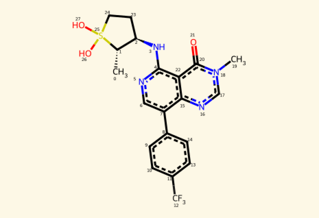 C[C@H]1[C@H](Nc2ncc(-c3ccc(C(F)(F)F)cc3)c3ncn(C)c(=O)c23)CCS1(O)O